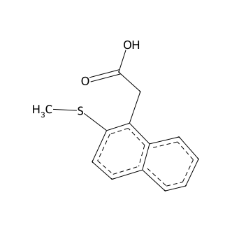 CSc1ccc2ccccc2c1CC(=O)O